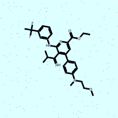 CCOC(=O)c1cc(-c2ccc(N(C)CCOC)cc2)c(C(=N)C(C)C)c(Nc2cccc(C(C)(F)F)c2)n1